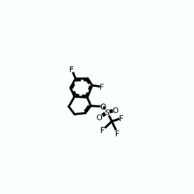 O=S(=O)(OC1=CCCc2cc(F)cc(F)c21)C(F)(F)F